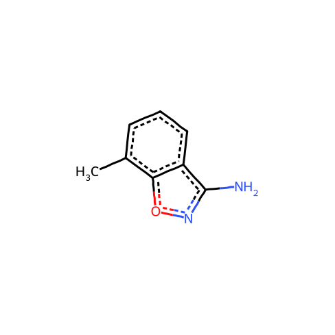 Cc1cccc2c(N)noc12